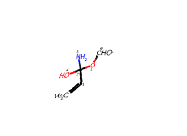 C=CC(N)(O)O[C]=O